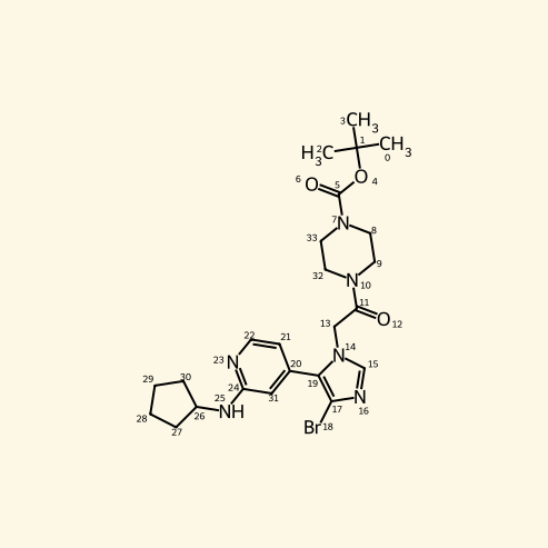 CC(C)(C)OC(=O)N1CCN(C(=O)Cn2cnc(Br)c2-c2ccnc(NC3CCCC3)c2)CC1